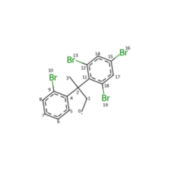 [CH2]CC(C)(c1ccccc1Br)c1c(Br)cc(Br)cc1Br